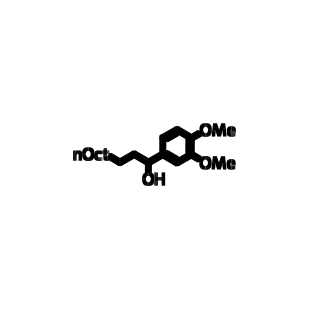 CCCCCCCCCCC(O)c1ccc(OC)c(OC)c1